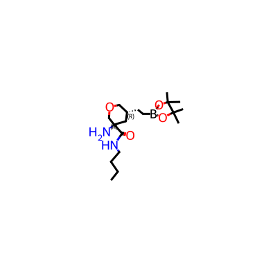 CCCCNC(=O)[C@]1(N)COC[C@H](CCB2OC(C)(C)C(C)(C)O2)C1